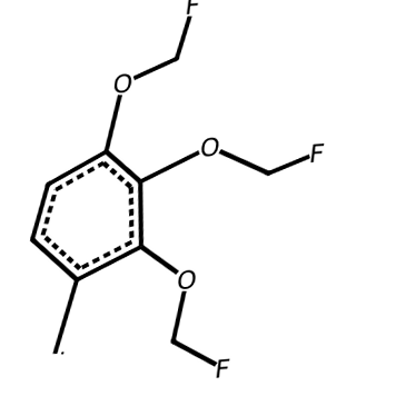 [CH2]c1ccc(OCF)c(OCF)c1OCF